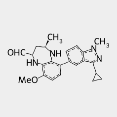 COc1ccc(-c2ccc3c(c2)c(C2CC2)nn3C)c2c1NC(C=O)C[C@@H](C)N2